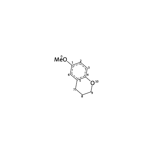 COc1ccc2c(c1)[CH]CCO2